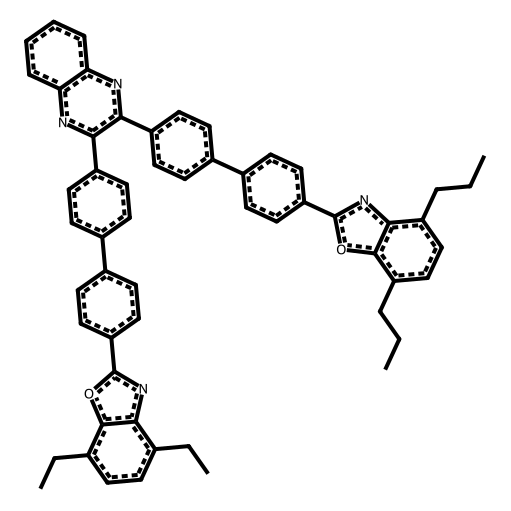 CCCc1ccc(CCC)c2oc(-c3ccc(-c4ccc(-c5nc6ccccc6nc5-c5ccc(-c6ccc(-c7nc8c(CC)ccc(CC)c8o7)cc6)cc5)cc4)cc3)nc12